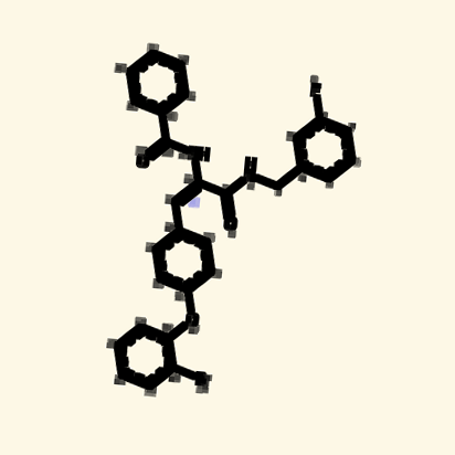 O=C(NCc1cccc(F)c1)/C(=C\c1ccc(Oc2ccccc2Br)cc1)NC(=O)c1ccccc1